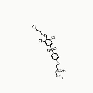 NC[C@@H](O)COc1ccc(S(=O)(=O)c2cc(Cl)c(OCCCCl)c(Cl)c2)cc1